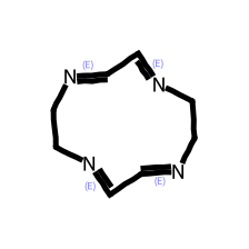 C1=N/CC/N=C/C=N/CC/N=C/1